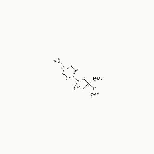 [CH2]C(COC(C)=O)(CC(OC(C)=O)c1ccc(CCCCCCCC)cc1)NC(C)=O